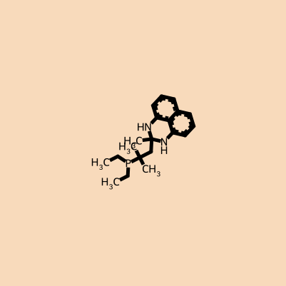 CCP(CC)C(C)(C)CC1(C)Nc2cccc3cccc(c23)N1